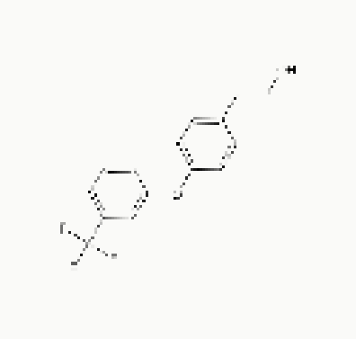 OCCc1ccc(Oc2cccc(C(F)(F)F)c2)cc1